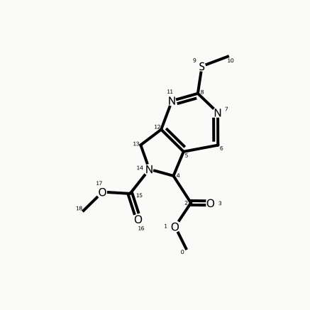 COC(=O)C1c2cnc(SC)nc2CN1C(=O)OC